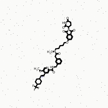 COc1cnc(C(=O)NCc2cccc(CC(=O)N(C)CCCCCOc3ccc4c(c3)C(=O)N(C3CCC(=O)NC3=O)C4=O)c2)cc1/C=C/C1CCC(C(F)(F)F)CC1